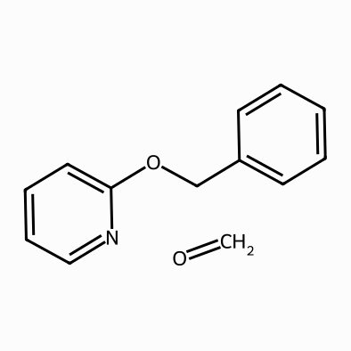 C=O.c1ccc(COc2ccccn2)cc1